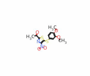 COc1ccc(Sc2sc(C(C)=O)nc2[N+](=O)[O-])cc1OC